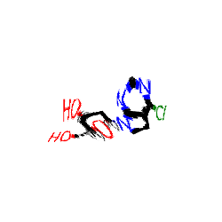 OC[C@H]1O[C@@H](n2ccc3c(Cl)ncnc32)C[C@@H]1O